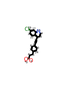 COC(=O)CCc1ccc(C#Cc2ccnc3cc(Cl)ccc23)cc1